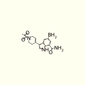 Bc1cc(C(N)=O)c2[nH]cc(C3=CCN(S(C)(=O)=O)CC3)c2c1